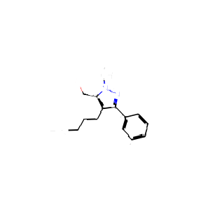 CCCCc1c(-c2ccccc2)nn(C)c1CO